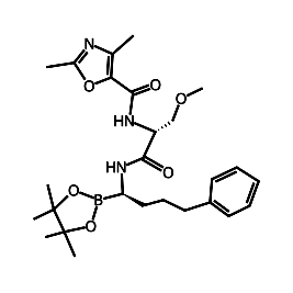 COC[C@@H](NC(=O)c1oc(C)nc1C)C(=O)N[C@@H](CCCc1ccccc1)B1OC(C)(C)C(C)(C)O1